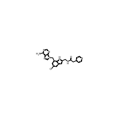 Nc1ncnc2c1ncn2Cc1cc(Cl)cc2cc(CNC(=O)Cc3ccncc3)[nH]c12